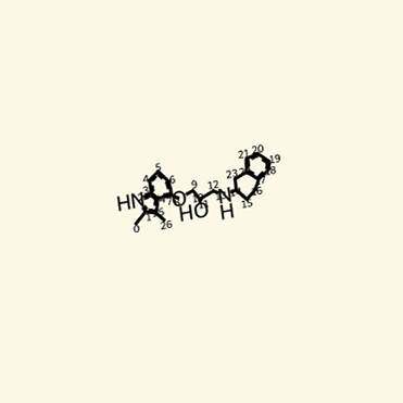 Cc1[nH]c2cccc(OCC(O)CNC3CCc4ccccc4C3)c2c1C